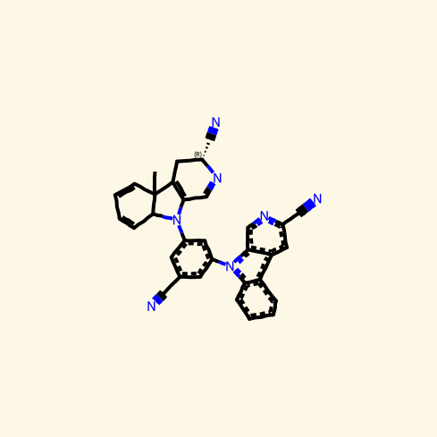 CC12C=CC=CC1N(c1cc(C#N)cc(-n3c4ccccc4c4cc(C#N)ncc43)c1)C1=C2C[C@H](C#N)N=C1